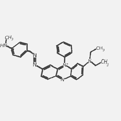 CCN(CC)c1ccc2nc3ccc(N=Nc4ccc(NC)cc4)cc3[n+](-c3ccccc3)c2c1